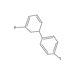 FC1=CC=CC(c2ccc(I)cc2)C1